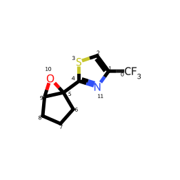 FC(F)(F)c1csc(C23CCCC2O3)n1